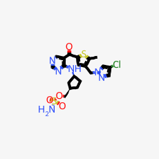 Cc1sc(C(=O)c2cncnc2N[C@H]2CC[C@@H](COS(N)(=O)=O)C2)cc1Cn1cc(Cl)cn1